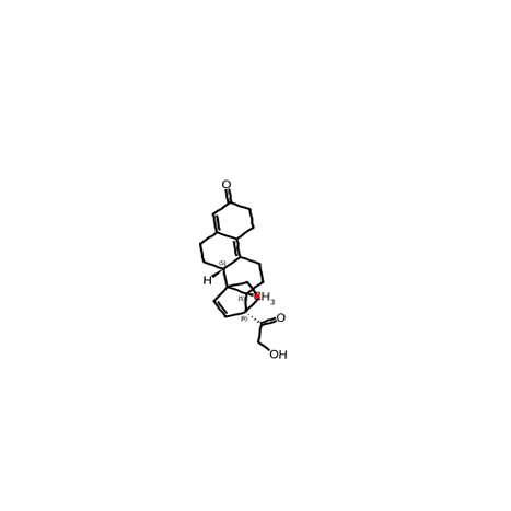 C[C@]12CCC3=C4CCC(=O)C=C4CC[C@H]3C13C=C[C@]2(C(=O)CO)CC3